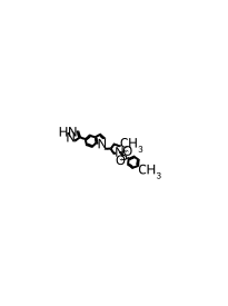 Cc1ccc(S(=O)(=O)N2CC(Cn3ccc4cc(-c5cn[nH]c5)ccc43)C[C@@H]2C)cc1